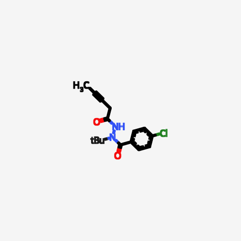 CC#CCC(=O)NN(C(=O)c1ccc(Cl)cc1)C(C)(C)C